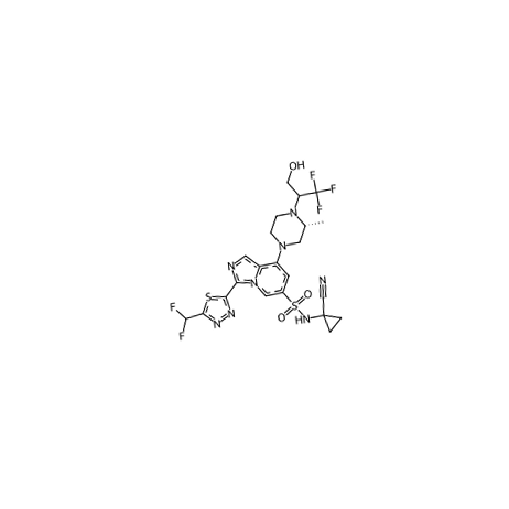 C[C@@H]1CN(c2cc(S(=O)(=O)NC3(C#N)CC3)cn3c(-c4nnc(C(F)F)s4)ncc23)CCN1C(CO)C(F)(F)F